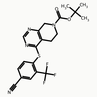 CC(C)(C)OC(=O)N1CCc2c(ncnc2Sc2ccc(C#N)cc2C(F)(F)F)C1